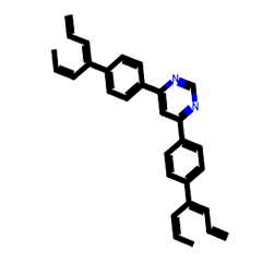 C=C/C=C(\C=C/C)c1ccc(-c2cc(-c3ccc(C(/C=C\C)=C/C=C)cc3)ncn2)cc1